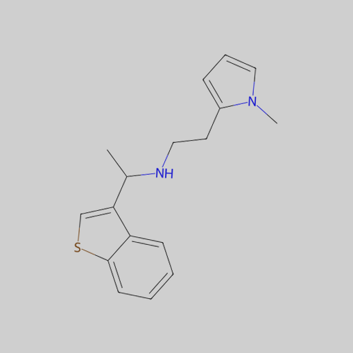 CC(NCCc1cccn1C)c1csc2ccccc12